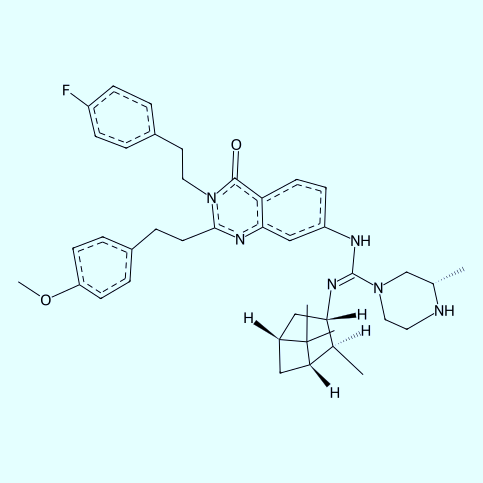 COc1ccc(CCc2nc3cc(NC(=N[C@H]4C[C@H]5C[C@@H]([C@@H]4C)C5(C)C)N4CCN[C@@H](C)C4)ccc3c(=O)n2CCc2ccc(F)cc2)cc1